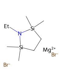 CCN1[Si](C)(C)CC[Si]1(C)C.[Br-].[Br-].[Mg+2]